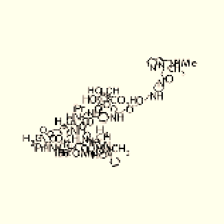 CC[C@H](C)[C@@H]([C@@H](CC(=O)N1CCC[C@H]1[C@H](OC)[C@@H](C)C(=O)N[C@H](C)[C@@H](O)c1ccccc1)OC)N(C)C(=O)[C@@H](NC(=O)[C@H](C(C)C)N(C)C(=O)OCc1ccc(NC(=O)[C@H](C)NC(=O)[C@@H](NC(=O)c2ccc(NC(=O)CCOCCOCCNC3CCN(C(=O)CCn4c(CN(C)NC)cc5cccnc54)CC3)cc2O[C@@H]2O[C@H](C(=O)O)[C@@H](O)[C@H](O)[C@H]2O)C(C)C)cc1)C(C)C